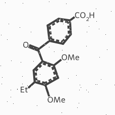 CCc1cc(C(=O)c2ccc(C(=O)O)cc2)c(OC)cc1OC